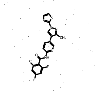 Cc1nn(-c2nccs2)cc1-c1ccc(NC(=O)c2c(F)cc(F)cc2F)nc1